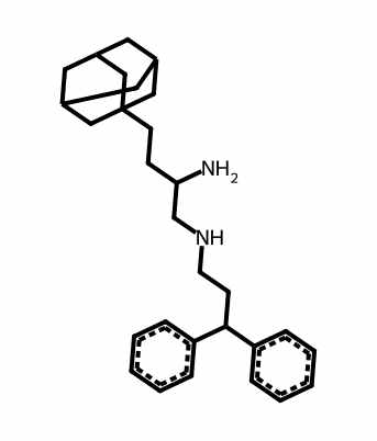 NC(CCC12CC3CC(CC(C3)C1)C2)CNCCC(c1ccccc1)c1ccccc1